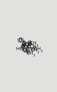 C=C[C@@]1(I)CCC(C)(C)C(C[C@H]2c3cc(OC)cc(OCc4ccccc4)c3C(=O)c3c(O)ccc(OC)c32)=C1C